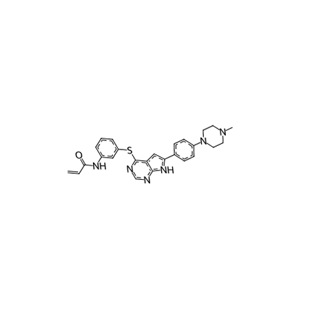 C=CC(=O)Nc1cccc(Sc2ncnc3[nH]c(-c4ccc(N5CCN(C)CC5)cc4)cc23)c1